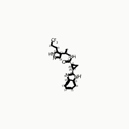 CC(NC(=O)[C@@H]1C[C@H]1c1nc2ccccc2[nH]1)c1cn[nH]c1CCC(F)(F)F